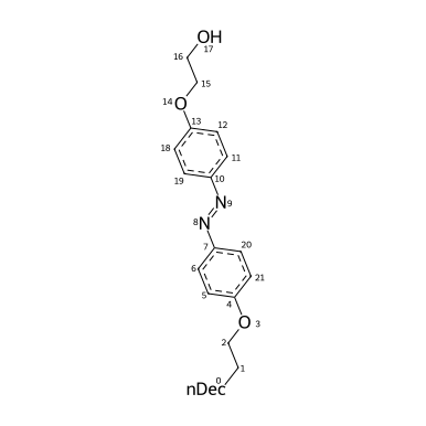 CCCCCCCCCCCCOc1ccc(N=Nc2ccc(OCCO)cc2)cc1